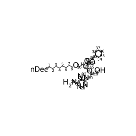 CCCCCCCCCCCCCCCCCCOCCO[P@@](=O)(CO[C@H](CO)Cn1cnc2c(N)ncnc21)OCc1ccccc1